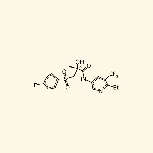 CCc1ncc(NC(=O)[C@@](C)(O)CS(=O)(=O)c2ccc(F)cc2)cc1C(F)(F)F